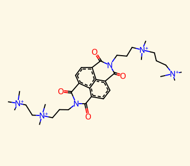 C[N+](C)(C)CCC[N+](C)(C)CCCN1C(=O)c2ccc3c4c(ccc(c24)C1=O)C(=O)N(CCC[N+](C)(C)CC[N+](C)(C)C)C3=O